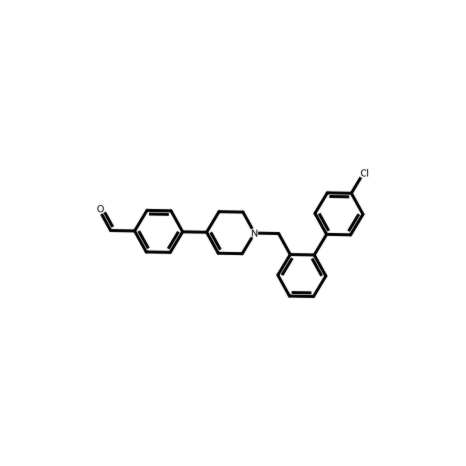 O=Cc1ccc(C2=CCN(Cc3ccccc3-c3ccc(Cl)cc3)CC2)cc1